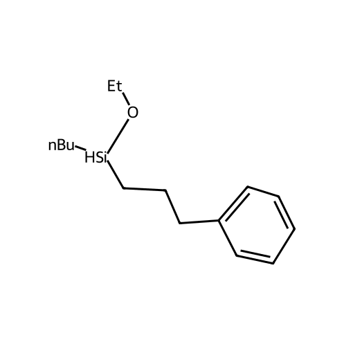 CCCC[SiH](CCCc1ccccc1)OCC